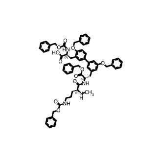 CN[C@@H](CCCNC(=O)OCc1ccccc1)C(=O)N[C@@H](Cc1cc(OCc2ccccc2)cc(-c2ccc(OCc3ccccc3)c(C[C@H](NC(=O)OCc3ccccc3)C(=O)O)c2)c1)C(=O)OCc1ccccc1